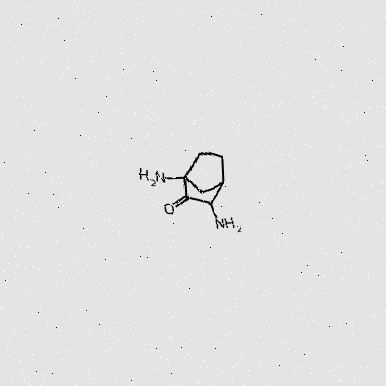 NC1C(=O)C2(N)CCC1C2